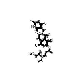 CCN(CCC(C)Oc1cc(Cl)c2c(c1Cl)C(=O)N(Cc1c(C)cc(C)[nH]c1=O)CC2)C(=O)COC